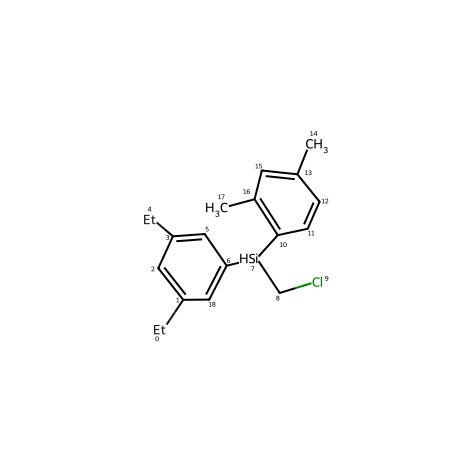 CCc1cc(CC)cc([SiH](CCl)c2ccc(C)cc2C)c1